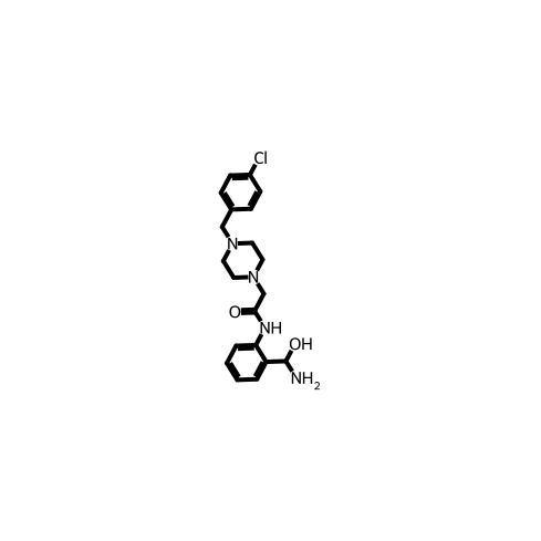 NC(O)c1ccccc1NC(=O)CN1CCN(Cc2ccc(Cl)cc2)CC1